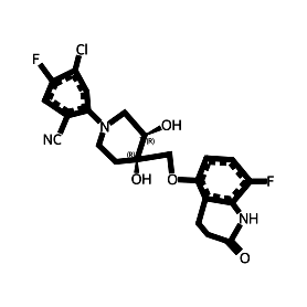 N#Cc1cc(F)c(Cl)cc1N1CC[C@@](O)(COc2ccc(F)c3c2CCC(=O)N3)[C@H](O)C1